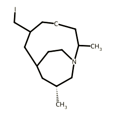 CC1CCCC(CI)CC2CCN1C[C@H](C)C2